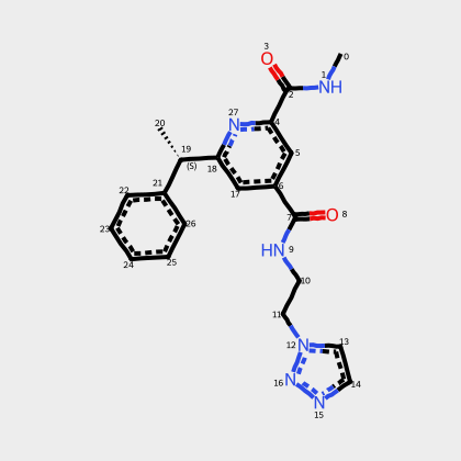 CNC(=O)c1cc(C(=O)NCCn2ccnn2)cc([C@@H](C)c2ccccc2)n1